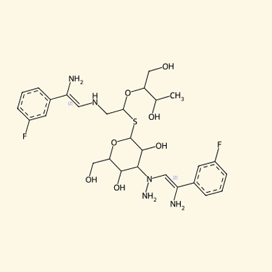 CC(O)C(CO)OC(CN/C=C(\N)c1cccc(F)c1)SC1OC(CO)C(O)C(N(N)/C=C(\N)c2cccc(F)c2)C1O